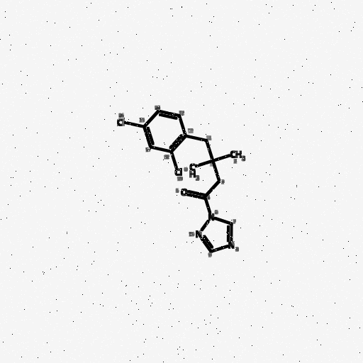 CC(C)(CC(=O)n1cncn1)Cc1ccc(Cl)cc1Cl